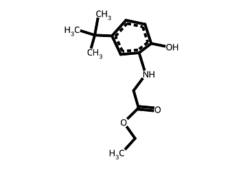 CCOC(=O)CNc1cc(C(C)(C)C)ccc1O